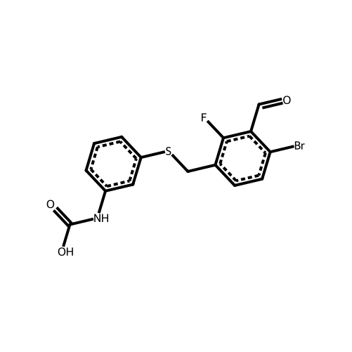 O=Cc1c(Br)ccc(CSc2cccc(NC(=O)O)c2)c1F